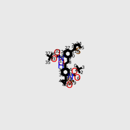 CC(C)(C)OC(=O)N=S(C)(=O)C1(c2ccc(C(=O)Cc3cc(-c4cccs4)ccc3NC(=O)OC(C)(C)C)cc2)CC1